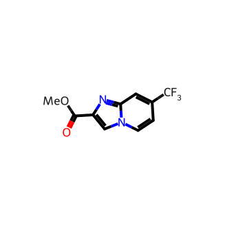 COC(=O)c1cn2ccc(C(F)(F)F)cc2n1